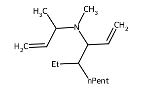 C=CC(C)N(C)C(C=C)C(CC)CCCCC